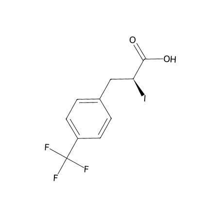 O=C(O)[C@@H](I)Cc1ccc(C(F)(F)F)cc1